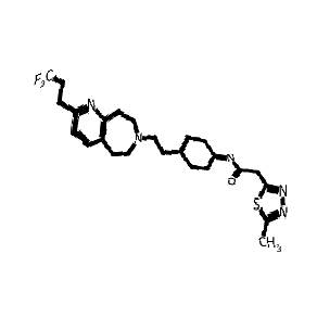 Cc1nnc(CC(=O)N=C2CCC(CCN3CCc4ccc(CCC(F)(F)F)nc4CC3)CC2)s1